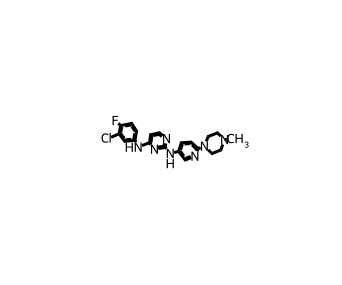 CN1CCN(c2ccc(Nc3nccc(Nc4ccc(F)c(Cl)c4)n3)cn2)CC1